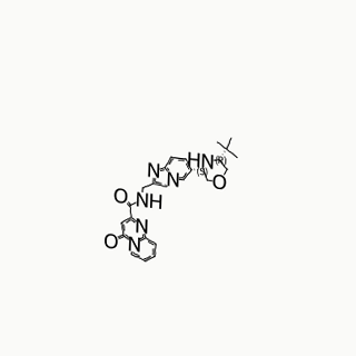 CC(C)(C)[C@@H]1COC[C@H](c2ccc3nc(CNC(=O)c4cc(=O)n5ccccc5n4)cn3c2)N1